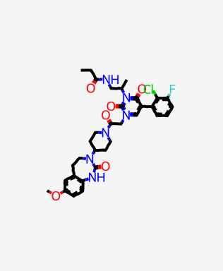 CCC(=O)NCC(C)n1c(=O)c(-c2cccc(F)c2Cl)cn(CC(=O)N2CCC(N3CCc4cc(OC)ccc4NC3=O)CC2)c1=O